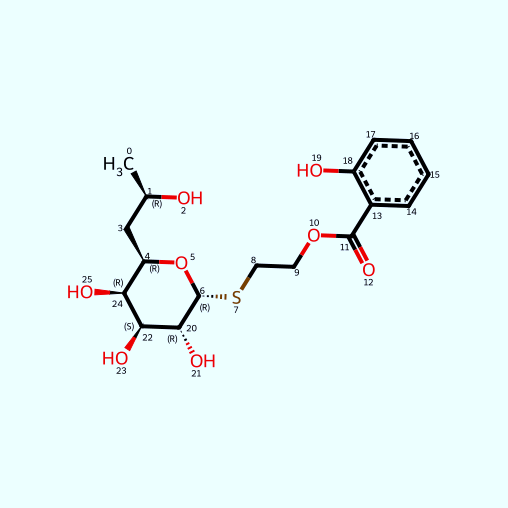 C[C@@H](O)C[C@H]1O[C@H](SCCOC(=O)c2ccccc2O)[C@H](O)[C@@H](O)[C@H]1O